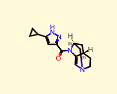 O=C(c1cc(C2CC2)[nH]n1)N1C2=CN3CC[C@H]2C[C@H]1C3